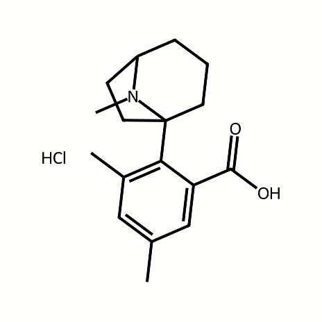 Cc1cc(C)c(C23CCCC(CC2)N3C)c(C(=O)O)c1.Cl